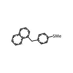 CSc1ccc(Cc2cccc3ccc[c]c23)cc1